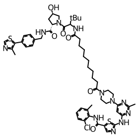 Cc1nc(Nc2ncc(C(=O)Nc3c(C)cccc3Cl)s2)cc(N2CCN(C(=O)CCCCCCCCCC(=O)NC(C(=O)N3C[C@H](O)C[C@H]3C(=O)NCc3ccc(-c4scnc4C)cc3)C(C)(C)C)CC2)n1